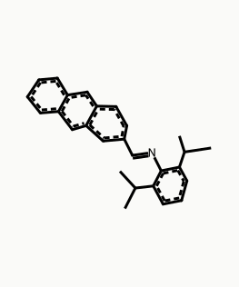 CC(C)c1cccc(C(C)C)c1/N=C/c1ccc2cc3ccccc3cc2c1